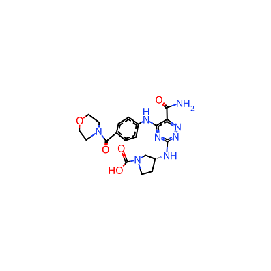 NC(=O)c1nnc(N[C@@H]2CCN(C(=O)O)C2)nc1Nc1ccc(C(=O)N2CCOCC2)cc1